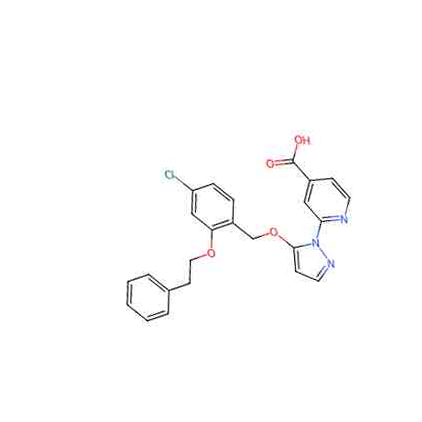 O=C(O)c1ccnc(-n2nccc2OCc2ccc(Cl)cc2OCCc2ccccc2)c1